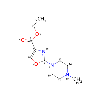 CCOC(=O)c1coc(N2CCN(C)CC2)n1